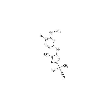 CNc1nc(Nc2cn(C(C)(C)C#N)nc2C)ncc1Br